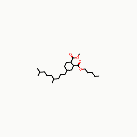 CCCCCOC(=O)C1CC(CCCC(C)CCCC(C)C)CCC1C(=O)OC